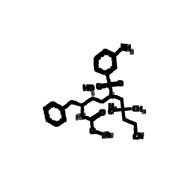 CC(C)(CCC#N)CN(C[C@@H](O)[C@H](Cc1ccccc1)NC(=O)OC(C)(C)C)S(=O)(=O)c1cccc(N)c1